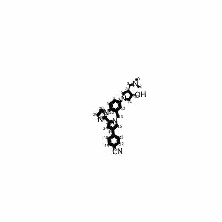 CN(C)C[C@@H]1CN(c2ccc3c(c2)Cn2cc(-c4ccc(C#N)cc4)cc2-c2nccn2-3)C[C@H]1O